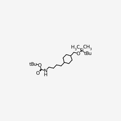 CC(C)(C)OC(=O)NCCCCC1CCC(CO[Si](C)(C)C(C)(C)C)CC1